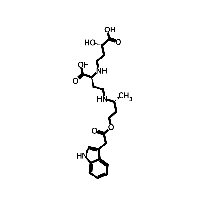 C[C@H](CCOC(=O)Cc1c[nH]c2ccccc12)NCC[C@H](NCC[C@H](O)C(=O)O)C(=O)O